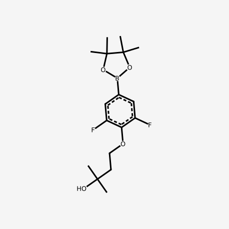 CC(C)(O)CCOc1c(F)cc(B2OC(C)(C)C(C)(C)O2)cc1F